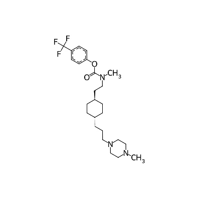 CN1CCN(CCC[C@H]2CC[C@H](CCN(C)C(=O)Oc3ccc(C(F)(F)F)cc3)CC2)CC1